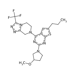 CCCc1cc2c(N3CCn4c(nnc4C(F)(F)F)C3)nc(N3CCC(OC)C3)nc2s1